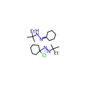 CCC(C)(C)/N=N/C1(Cl)CCCCC1.CCC(C)(C)NN=C1CCCCC1